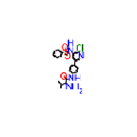 CC(C)C(N)C(=O)Nc1ccc(-c2cnc(Cl)c(NS(=O)(=O)c3ccccc3)c2)cc1